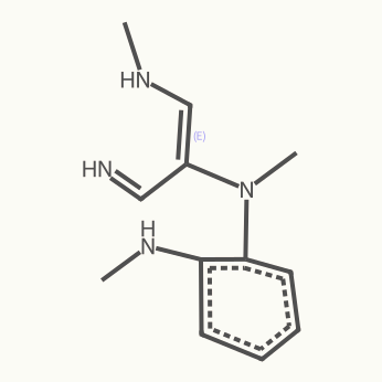 CN/C=C(\C=N)N(C)c1ccccc1NC